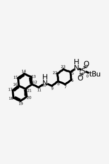 CC(C)(C)S(=O)(=O)NC1CCC(CNCc2cccc3ccccc23)CC1